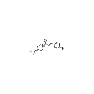 C=C1CCN(C(=O)/C=C/c2ccc(F)cc2)CC1